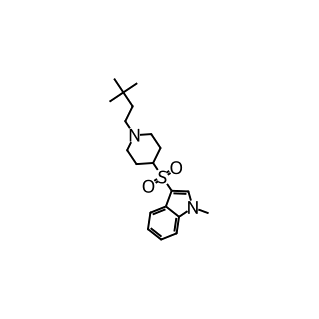 Cn1cc(S(=O)(=O)C2CCN(CCC(C)(C)C)CC2)c2ccccc21